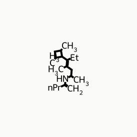 C=C(CCC)NC(C)C/C(C)=C(\CC)C1C(C)CC1C